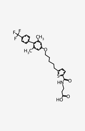 Cc1cc(OCCCCCc2ccc(C(=O)NCCC(=O)O)s2)cc(C)c1-c1ccc(C(F)(F)F)cc1